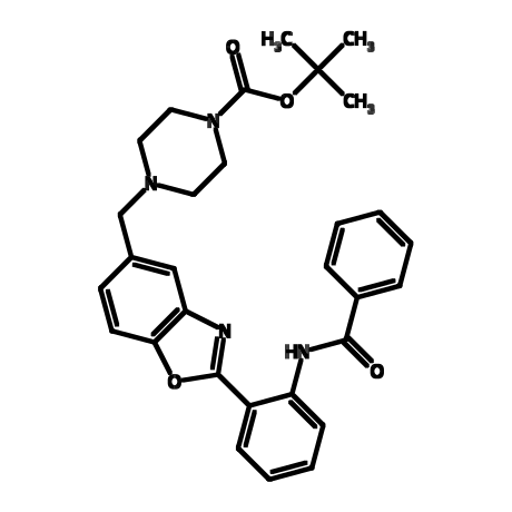 CC(C)(C)OC(=O)N1CCN(Cc2ccc3oc(-c4ccccc4NC(=O)c4ccccc4)nc3c2)CC1